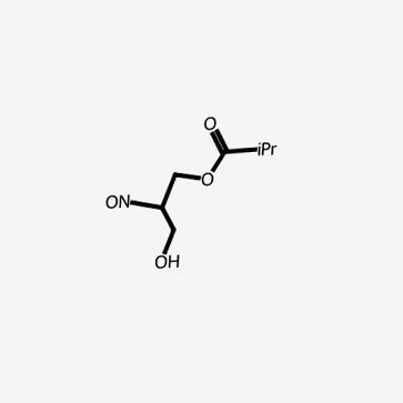 CC(C)C(=O)OCC(CO)N=O